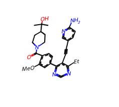 CCc1ncnc(-c2ccc(C(=O)N3CCC(C(C)(C)O)CC3)c(OC)c2)c1C#Cc1ccc(N)nc1